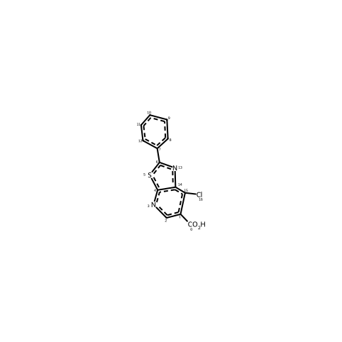 O=C(O)c1cnc2sc(-c3ccccc3)nc2c1Cl